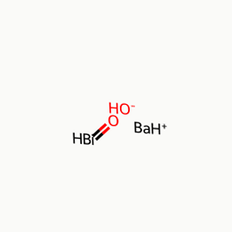 [BaH+].[OH-].[O]=[BiH]